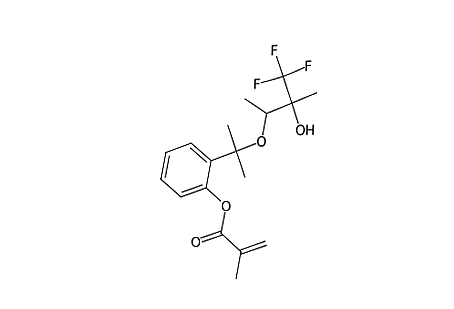 C=C(C)C(=O)Oc1ccccc1C(C)(C)OC(C)C(C)(O)C(F)(F)F